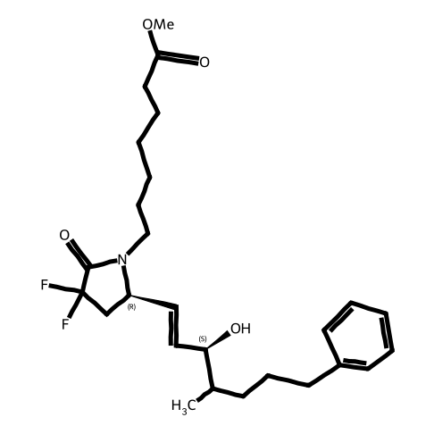 COC(=O)CCCCCCN1C(=O)C(F)(F)C[C@@H]1C=C[C@@H](O)C(C)CCCc1ccccc1